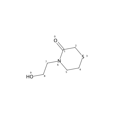 O=C1CSCCN1CCO